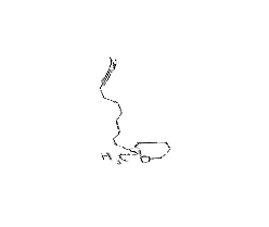 C[Si]1(CCCCCC#N)CCCCO1